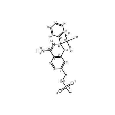 CS(=O)(=O)NCc1ccc2c(c1)CC(c1ccccc1)(C(F)(F)F)N=C2N